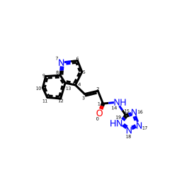 O=C(C=Cc1ccnc2ccccc12)Nc1nnn[nH]1